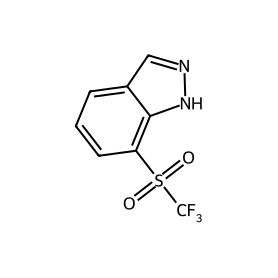 O=S(=O)(c1cccc2cn[nH]c12)C(F)(F)F